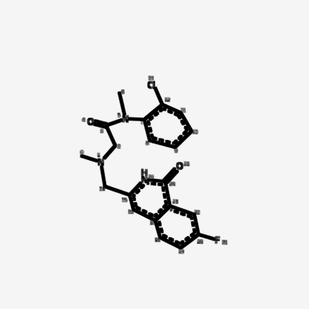 CN(CC(=O)N(C)c1ccccc1Cl)Cc1cc2ccc(F)cc2c(=O)[nH]1